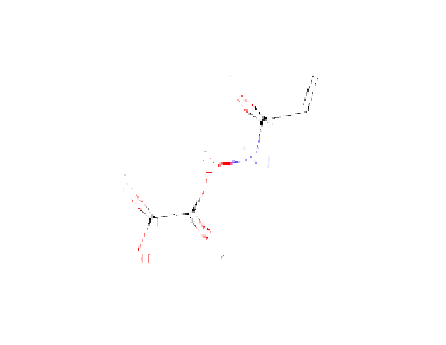 C=CC(=O)NOC(=O)C(=O)O